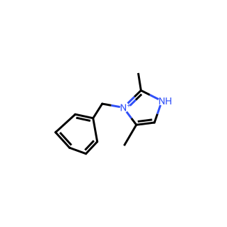 Cc1c[nH]c(C)[n+]1Cc1ccccc1